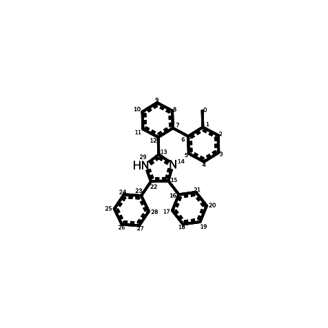 Cc1ccccc1-c1ccccc1-c1nc(-c2ccccc2)c(-c2ccccc2)[nH]1